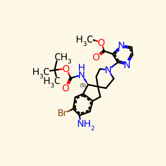 COC(=O)c1nccnc1N1CCC2(CC1)Cc1cc(N)c(Br)cc1[C@H]2NC(=O)OC(C)(C)C